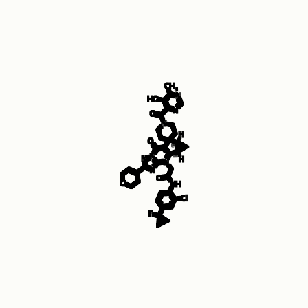 Cc1ncnc(C(=O)N2CCC3(CC2)c2c(n(CC(=O)Nc4ccc(C5(F)CC5)cc4Cl)c4nc(C5=CCOCC5)nn4c2=O)[C@H]2C[C@H]23)c1O